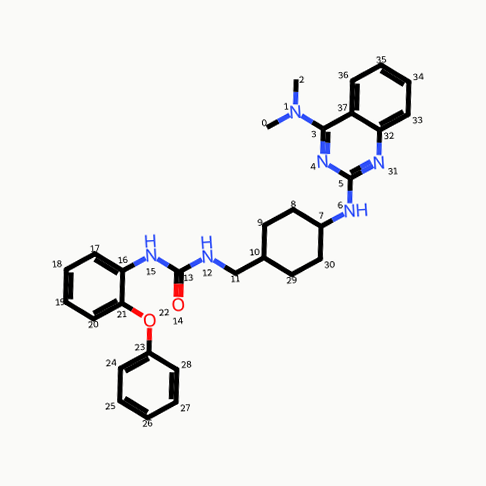 CN(C)c1nc(NC2CCC(CNC(=O)Nc3ccccc3Oc3ccccc3)CC2)nc2ccccc12